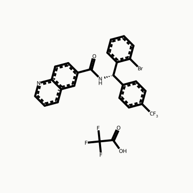 O=C(N[C@@H](c1ccc(C(F)(F)F)cc1)c1ccccc1Br)c1ccc2ncccc2c1.O=C(O)C(F)(F)F